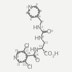 O=C(NCc1ccncc1)NC[C@H](NC(=O)c1c(Cl)cncc1Cl)C(=O)O